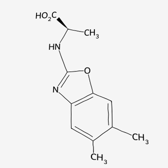 Cc1cc2nc(N[C@H](C)C(=O)O)oc2cc1C